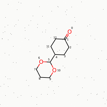 O=C1CCC(C2OCCCO2)CC1